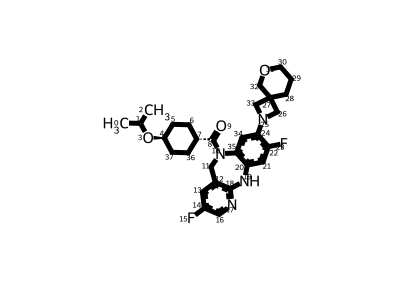 CC(C)O[C@H]1CC[C@H](C(=O)N2Cc3cc(F)cnc3Nc3cc(F)c(N4CC5(CCCOC5)C4)cc32)CC1